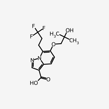 CC(C)(O)COc1ccc2c(C(=O)O)cnn2c1CCC(F)(F)F